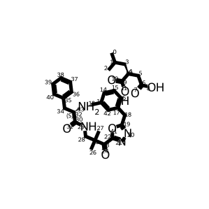 CC(C)C[C@@H](CC(=O)O)C(=O)O.Cc1cccc(Cc2nnc(C(=O)C(C)(C)CNC(=O)[C@@H](N)Cc3ccccc3)o2)c1